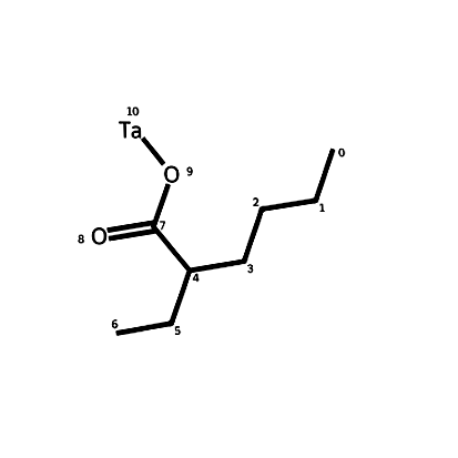 CCCCC(CC)C(=O)[O][Ta]